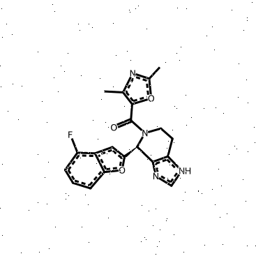 Cc1nc(C)c(C(=O)N2CCc3[nH]cnc3[C@H]2c2cc3c(F)cccc3o2)o1